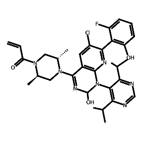 C=CC(=O)N1C[C@H](C)N(C2=NC(O)N(c3c(C(C)C)ncnc3C(C)C)c3nc(-c4c(O)cccc4F)c(Cl)cc32)C[C@H]1C